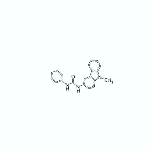 Cn1c2ccccc2c2cc(NC(=O)Nc3ccccc3)ccc21